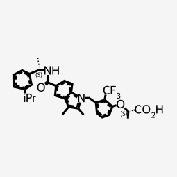 Cc1c(C)n(Cc2cccc(O[C@@H](C)C(=O)O)c2C(F)(F)F)c2ccc(C(=O)N[C@@H](C)c3cccc(C(C)C)c3)cc12